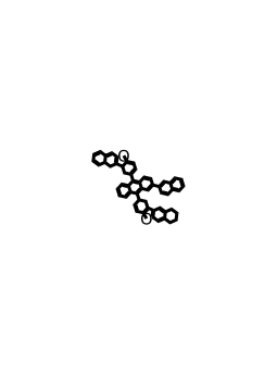 C1=CC2=CC3=C(CC2C=C1)C1CC(c2c4ccccc4c(C4C=Cc5oc6cc7c(cc6c5C4)CCCC7)c4cc(-c5ccc6ccccc6c5)ccc24)=CC=C1O3